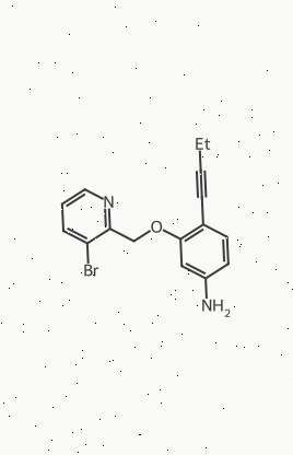 CCC#Cc1ccc(N)cc1OCc1ncccc1Br